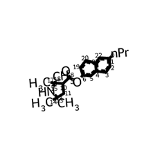 CCCc1ccc2cc(OC(=O)C3CC(C)(C)NC3(C)C)ccc2c1